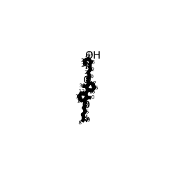 Cc1c(OCCCN(C)C)cccc1-c1cccc(OCCCN2CC[C@@H](O)C2)c1C